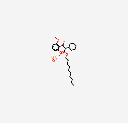 CCCCCCCCCCOC(=O)C(C(=O)c1c(OC)cccc1OC)C1CCCCC1.O=[PH3]